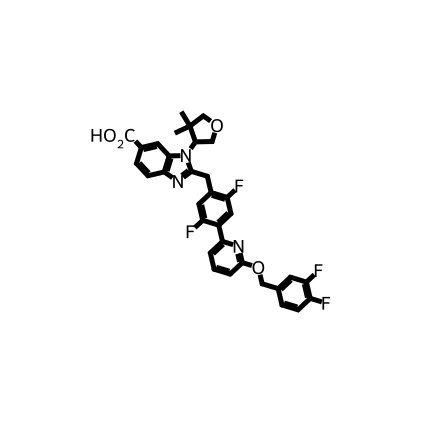 CC1(C)COCC1n1c(Cc2cc(F)c(-c3cccc(OCc4ccc(F)c(F)c4)n3)cc2F)nc2ccc(C(=O)O)cc21